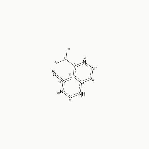 CC(C)c1nncc2[nH]cnc(=O)c12